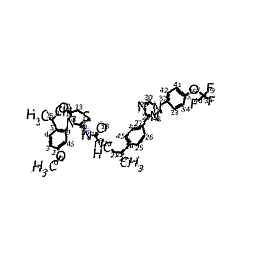 COc1ccc(C(C)C)c(N2C(=O)CS/C2=N\C(=O)NCCC(C)c2ccc(-c3ncn(-c4ccc(OC(F)(F)F)cc4)n3)cc2)c1